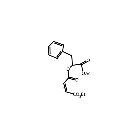 CCOC(=O)/C=C\C(=O)OC(Cc1ccccc1)C(=O)OC(C)=O